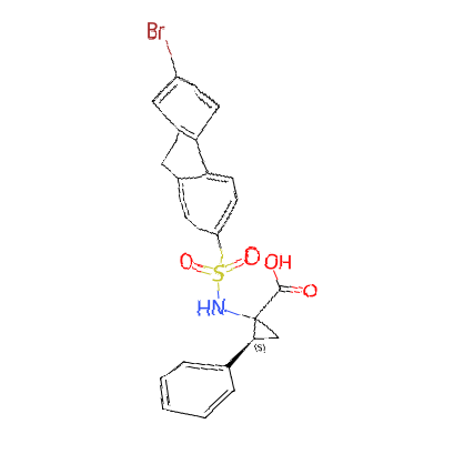 O=C(O)C1(NS(=O)(=O)c2ccc3c(c2)Cc2cc(Br)ccc2-3)C[C@H]1c1ccccc1